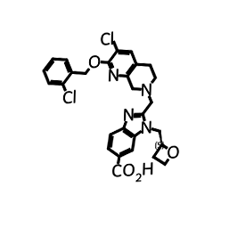 O=C(O)c1ccc2nc(CN3CCc4cc(Cl)c(OCc5ccccc5Cl)nc4C3)n(C[C@@H]3CCO3)c2c1